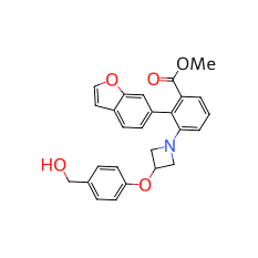 COC(=O)c1cccc(N2CC(Oc3ccc(CO)cc3)C2)c1-c1ccc2ccoc2c1